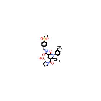 Cc1c(C(=O)N2CCC[C@@H]2CO)cc(C(=O)NCc2ccc(S(C)(=O)=O)cc2)c(=O)n1-c1cccc(C(F)(F)F)c1